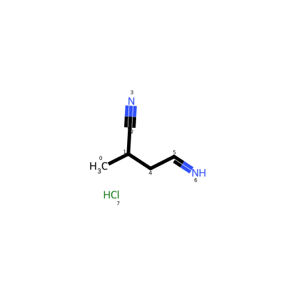 CC(C#N)CC=N.Cl